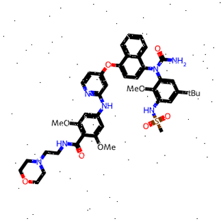 COc1cc(Nc2cc(Oc3ccc(N(C(N)=O)c4cc(C(C)(C)C)cc(NS(C)(=O)=O)c4OC)c4ccccc34)ccn2)cc(OC)c1C(=O)NCCN1CCOCC1